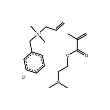 C=C(C)C(=O)OCCN(C)C.C=CC[N+](C)(C)Cc1ccccc1.[Cl-]